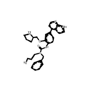 O=C(Nc1ccc(-c2ccnc3[nH]ccc23)cc1OCC1CCCN1)N(CCCO)Cc1ccccc1